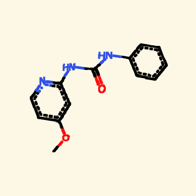 COc1ccnc(NC(=O)Nc2ccccc2)c1